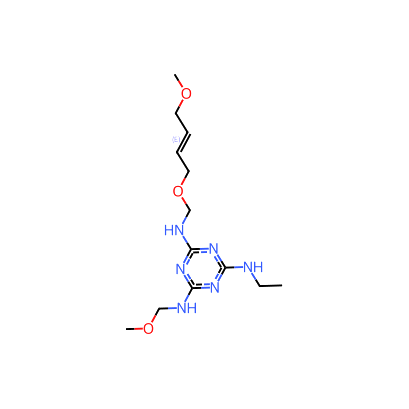 CCNc1nc(NCOC)nc(NCOC/C=C/COC)n1